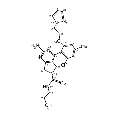 Nc1nc2c(c(-c3c(Cl)cc(Cl)cc3OCCn3cccn3)n1)CN(C(=O)NCCO)C2